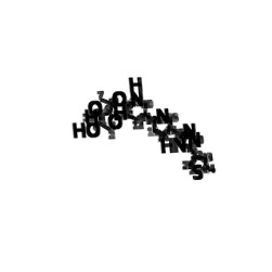 O[C@@H]1CO[C@H]2[C@@H]1OC[C@@H]2OC1=CC=C(c2ccc(-c3nnc(-c4ccsc4)[nH]3)cn2)CN1